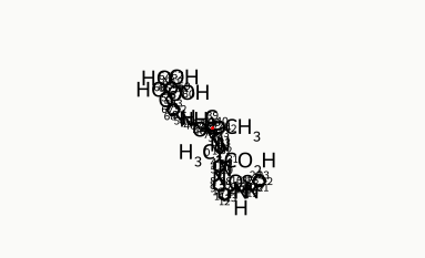 Cc1c(-c2ccc(N3CCc4cccc(C(=O)Nc5nc6ccccc6s5)c4C3)nc2C(=O)O)cnn1CC12CC3(C)CC(C)(C1)CC(OCCNCc1ccc(O[C@@H]4O[C@H](CO)[C@@H](O)[C@H](O)[C@H]4O)cc1)(C3)C2